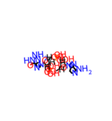 Nc1nc2c(ncn2[C@@H]2O[C@@H]3COP(=O)(O)O[C@H]4[C@@H](O)[C@H](n5cnc6c(N)nccc65)O[C@@H]4CCOP(=O)(O)O[C@@H]2[C@@H]3O)c(=O)[nH]1